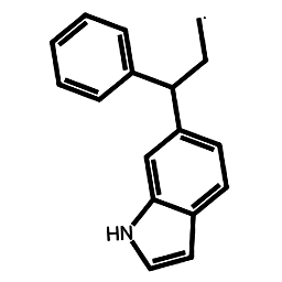 [CH2]CC(c1ccccc1)c1ccc2cc[nH]c2c1